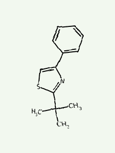 CC(C)(C)c1nc(-c2ccccc2)cs1